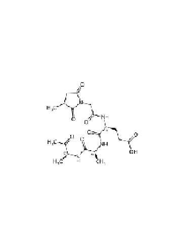 CC(=O)[C@H](C)NC(=O)[C@H](C)NC(=O)[C@H](CCC(=O)O)NC(=O)CN1C(=O)CC(C)C1=O